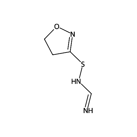 N=CNSC1=NOCC1